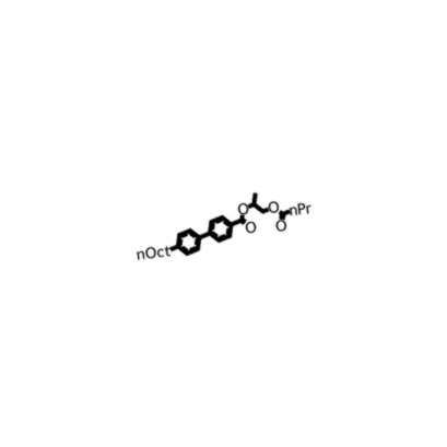 CCCCCCCCc1ccc(-c2ccc(C(=O)OC(C)COC(=O)CCC)cc2)cc1